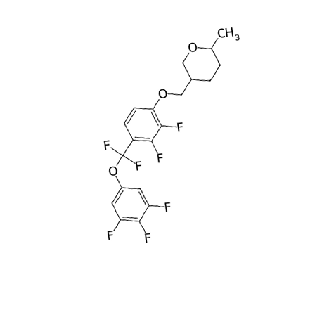 CC1CCC(COc2ccc(C(F)(F)Oc3cc(F)c(F)c(F)c3)c(F)c2F)CO1